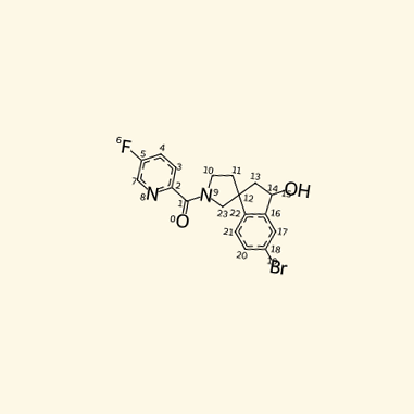 O=C(c1ccc(F)cn1)N1CCC2(CC(O)c3cc(Br)ccc32)C1